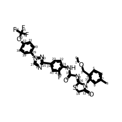 CCOCc1ccc(C)cc1N1C(=O)CS/C1=N\C(=O)Nc1ccc(-c2ncn(-c3ccc(OC(F)(F)F)cc3)n2)cc1F